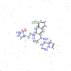 CC(Nc1ncnn2cccc12)c1cc2cccc(Cl)c2nc1NCCN1CCNC1=O